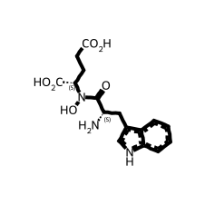 N[C@@H](Cc1c[nH]c2ccccc12)C(=O)N(O)[C@@H](CCC(=O)O)C(=O)O